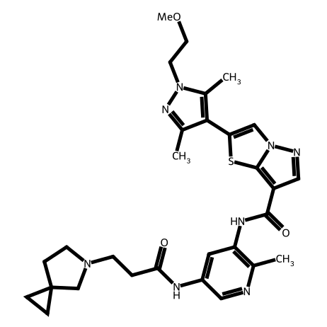 COCCn1nc(C)c(-c2cn3ncc(C(=O)Nc4cc(NC(=O)CCN5CCC6(CC6)C5)cnc4C)c3s2)c1C